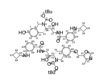 CC(C)(C)OC(=O)N1Cc2cc(O)ccc2C[C@H]1[C@H](O)CNC(=O)c1cccc(NC2CCC2)c1.Cc1ncoc1COc1ccc2c(c1)CN(C(=O)OC(C)(C)C)[C@H]([C@H](O)CNC(=O)c1cccc(NC3CCC3)c1)C2